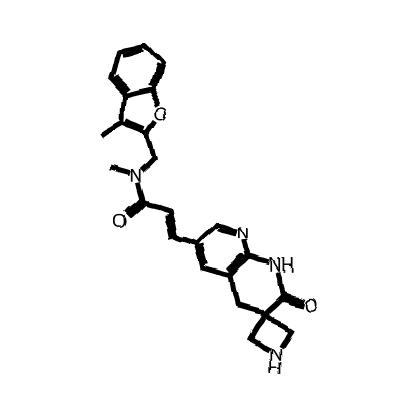 Cc1c(CN(C)C(=O)/C=C/c2cnc3c(c2)CC2(CNC2)C(=O)N3)oc2ccccc12